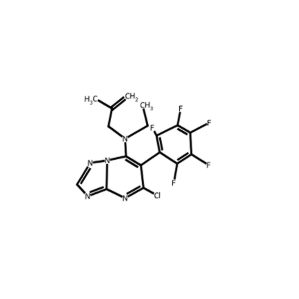 C=C(C)CN(CC)c1c(-c2c(F)c(F)c(F)c(F)c2F)c(Cl)nc2ncnn12